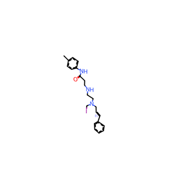 Cc1ccc(NC(=O)CCNCCN(CI)C/C=C/c2ccccc2)cc1